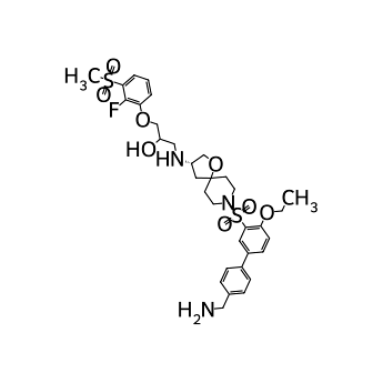 CCOc1ccc(-c2ccc(CN)cc2)cc1S(=O)(=O)N1CCC2(CC1)C[C@H](NCC(O)COc1cccc(S(C)(=O)=O)c1F)CO2